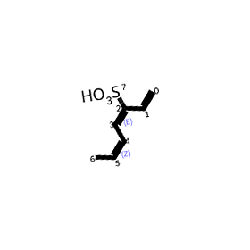 C=C/C(=C\C=C/C)S(=O)(=O)O